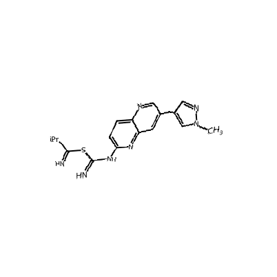 CC(C)C(=N)SC(=N)Nc1ccc2ncc(-c3cnn(C)c3)cc2n1